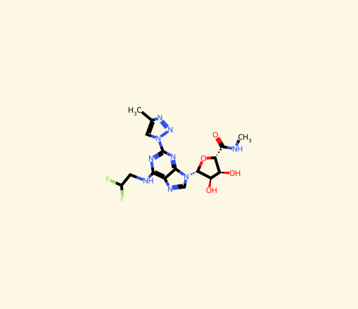 CNC(=O)[C@H]1O[C@@H](n2cnc3c(NCC(F)F)nc(-n4cc(C)nn4)nc32)[C@H](O)[C@@H]1O